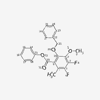 COc1c(F)c(F)c(C)c(C(=O)Oc2ccccc2)c1OCc1ccccc1